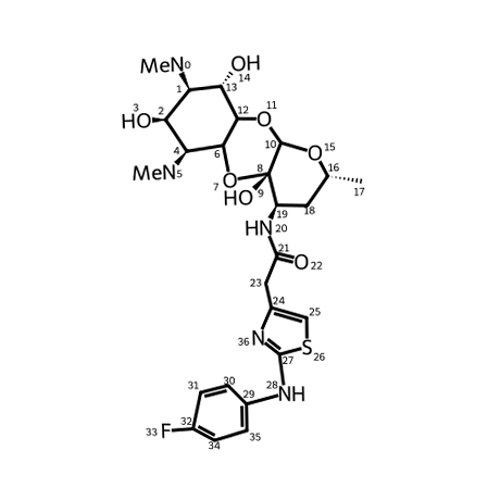 CN[C@@H]1[C@H](O)[C@H](NC)C2O[C@]3(O)C(OC2[C@H]1O)O[C@H](C)C[C@H]3NC(=O)Cc1csc(Nc2ccc(F)cc2)n1